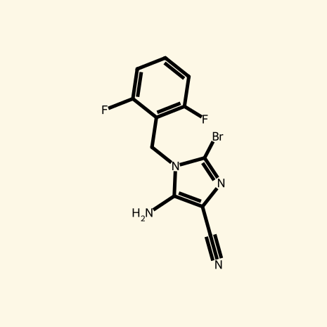 N#Cc1nc(Br)n(Cc2c(F)cccc2F)c1N